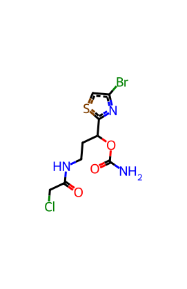 NC(=O)OC(CCNC(=O)CCl)c1nc(Br)cs1